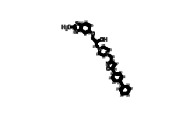 Cc1nc2cc(OCC(O)CN3CCN(Cc4cc(-c5ccc(-c6ccccc6)cc5)on4)CC3)ccc2s1